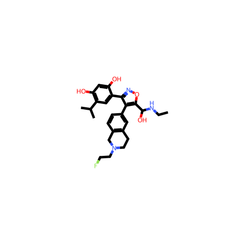 CCNC(O)c1onc(-c2cc(C(C)C)c(O)cc2O)c1-c1ccc2c(c1)CCN(CCF)C2